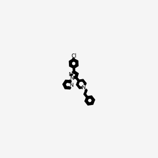 Clc1ccc(-c2cc(C3CCN(CCc4ccccc4)CC3)n(-c3ccccn3)n2)cc1